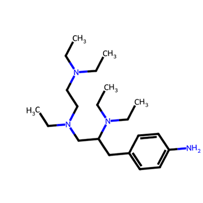 CCN(CC)CCN(CC)CC(Cc1ccc(N)cc1)N(CC)CC